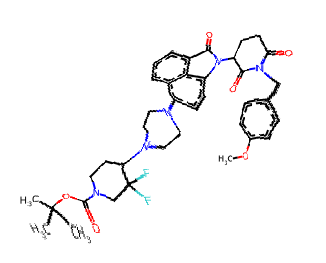 COc1ccc(CN2C(=O)CCC(N3C(=O)c4cccc5c(N6CCN(C7CCN(C(=O)OC(C)(C)C)CC7(F)F)CC6)ccc3c45)C2=O)cc1